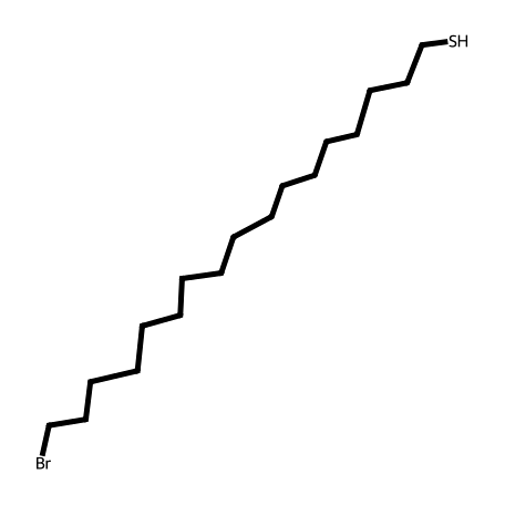 SCCCCCCCCCCCCCCCCCBr